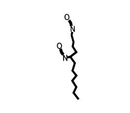 CCCCCCCC(CCCCN=C=O)N=C=O